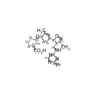 Cc1nc(-c2onc(C)c2CNc2ncnc(C(C)C)n2)ccc1OC1CCC[C@H](C(=O)O)C1